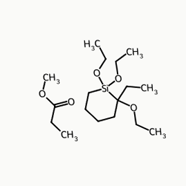 CCC(=O)OC.CCOC1(CC)CCCC[Si]1(OCC)OCC